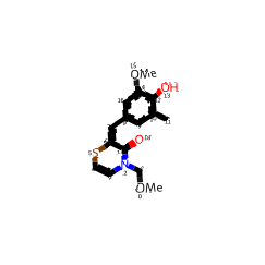 COCN1C=CSC(=Cc2cc(C)c(O)c(OC)c2)C1=O